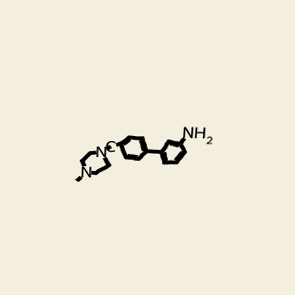 CN1CCN(Cc2ccc(-c3cccc(N)c3)cc2)CC1